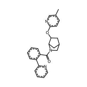 Cc1ccc(OC2CC3CC2N(C(=O)c2ccccc2-c2ccccn2)C3)nc1